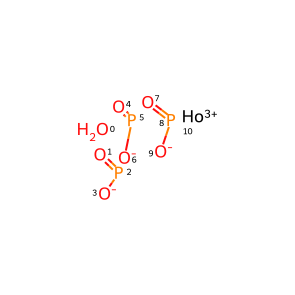 O.O=P[O-].O=P[O-].O=P[O-].[Ho+3]